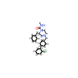 CNC(=O)N1CCN(Cc2ccc(-c3ccccc3Cl)cc2)C[C@H]1Cc1ccccc1